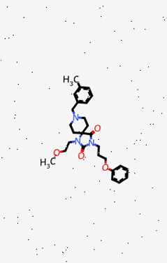 COCCN1C(=O)N(CCCOc2ccccc2)C(=O)C12CCN(Cc1cccc(C)c1)CC2